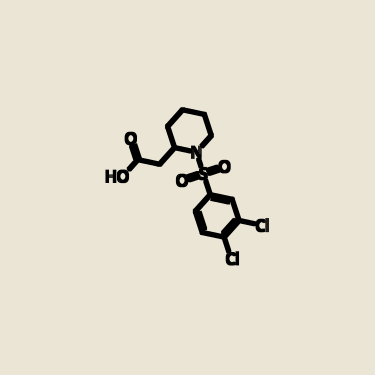 O=C(O)CC1CCCCN1S(=O)(=O)c1ccc(Cl)c(Cl)c1